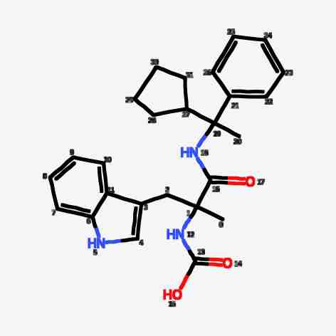 CC(Cc1c[nH]c2ccccc12)(NC(=O)O)C(=O)NC(C)(c1ccccc1)C1CCCC1